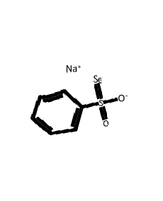 O=S([O-])(=[Se])c1ccccc1.[Na+]